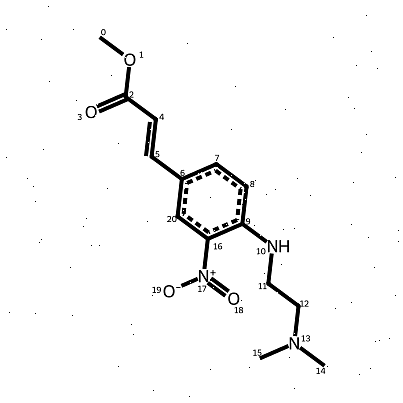 COC(=O)/C=C/c1ccc(NCCN(C)C)c([N+](=O)[O-])c1